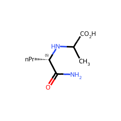 CCC[C@H](NC(C)C(=O)O)C(N)=O